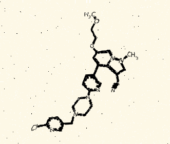 COCCOC1=CN2C(=C(C#N)CN2C)C(c2ccc(N3CCN(Cc4ccc(Cl)nc4)CC3)nc2)=C1